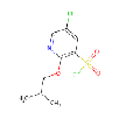 CC(C)COc1ncc(Cl)cc1S(=O)(=O)Cl